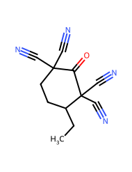 CCC1CCC(C#N)(C#N)C(=O)C1(C#N)C#N